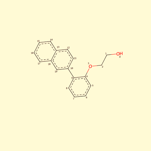 OCCOc1ccccc1-c1ccc2ccccc2c1